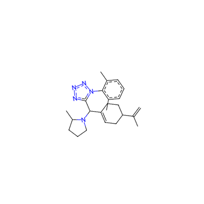 C=C(C)C1CC=C(C(c2nnnn2-c2c(C)cccc2C)N2CCCC2C)CC1